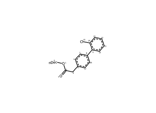 CCCCCCCCCCOC(=O)Cc1ccc(-c2ccccc2Cl)cc1